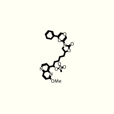 COc1ccc2nccc(C(CCCCC3CN(C4=COC=C(C5=CC=CCC5)O4)C(=O)O3)OS(C)(=O)=O)c2n1